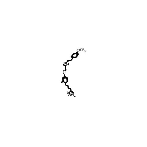 Cc1cc(OCc2coc(C=Cc3ccc(OC(F)(F)F)cc3)n2)ccc1CCCCc1cn(C)nn1